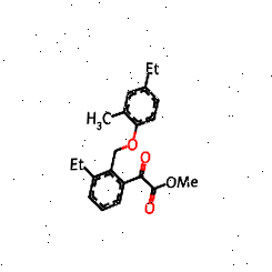 CCc1ccc(OCc2c(CC)cccc2C(=O)C(=O)OC)c(C)c1